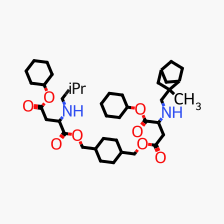 CC(C)CNC(CC(=O)OC1CCCCC1)C(=O)OCC1CCC(COC(=O)CC(NCC2(C)CC3CCC2C3)C(=O)OC2CCCCC2)CC1